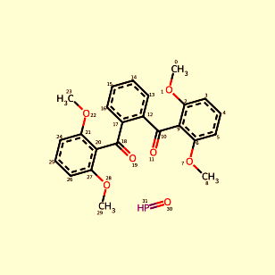 COc1cccc(OC)c1C(=O)c1ccccc1C(=O)c1c(OC)cccc1OC.O=P